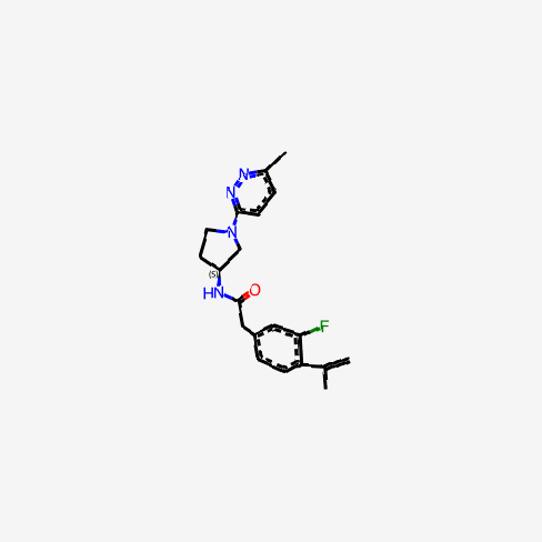 C=C(C)c1ccc(CC(=O)N[C@H]2CCN(c3ccc(C)nn3)C2)cc1F